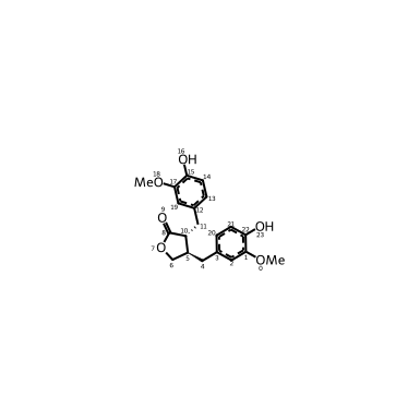 COc1cc(C[C@H]2COC(=O)[C@@H]2Cc2ccc(O)c(OC)c2)ccc1O